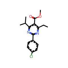 CCc1nc(-c2ccc(Cl)cc2)nc(C(C)C)c1C(=O)OC